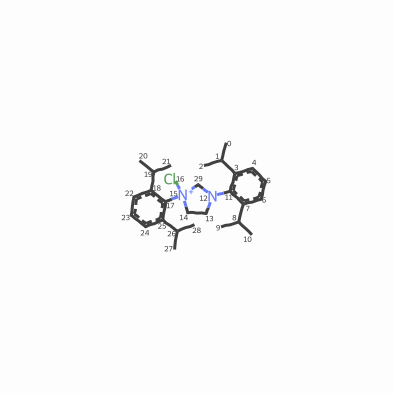 CC(C)c1cccc(C(C)C)c1N1CC[N+](Cl)(c2c(C(C)C)cccc2C(C)C)C1